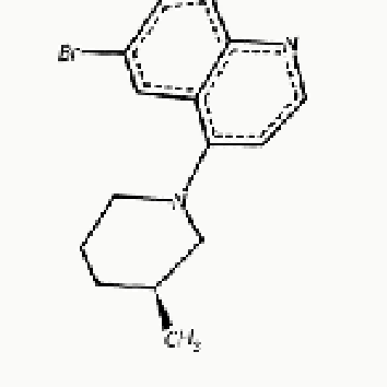 C[C@H]1CCCN(c2ccnc3ccc(Br)cc23)C1